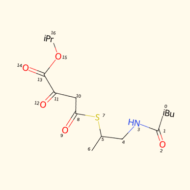 CCC(C)C(=O)NCC(C)SC(=O)CC(=O)C(=O)OC(C)C